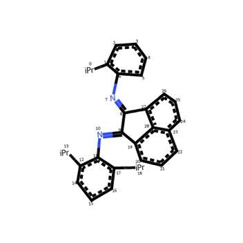 CC(C)c1ccccc1/N=C1/C(=N/c2c(C(C)C)cccc2C(C)C)c2cccc3cccc1c23